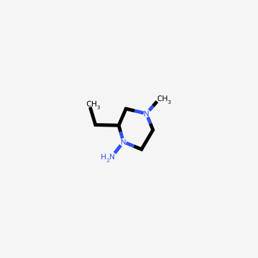 CCC1CN(C)CCN1N